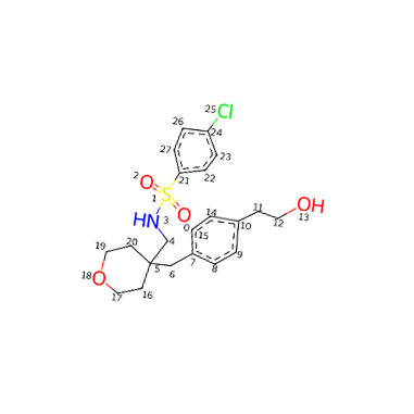 O=S(=O)(NCC1(Cc2ccc(CCO)cc2)CCOCC1)c1ccc(Cl)cc1